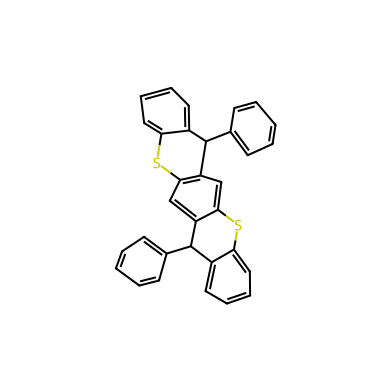 c1ccc(C2c3ccccc3Sc3cc4c(cc32)Sc2ccccc2C4c2ccccc2)cc1